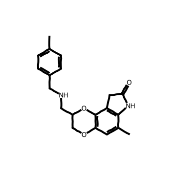 Cc1ccc(CNCC2COc3cc(C)c4c(c3O2)CC(=O)N4)cc1